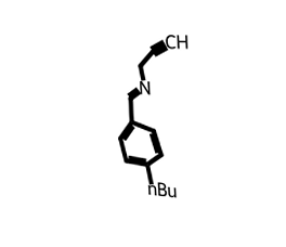 C#CCN=Cc1ccc(CCCC)cc1